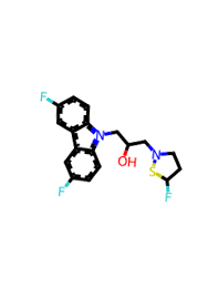 OC(CN1CCC(F)S1)Cn1c2ccc(F)cc2c2cc(F)ccc21